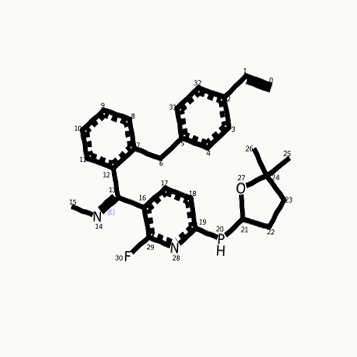 C=Cc1ccc(Cc2ccccc2/C(=N\C)c2ccc(PC3CCC(C)(C)O3)nc2F)cc1